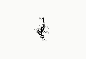 CCCCOCC(C)(C)c1cc(OC)c2c(c1)OC(C)(C)[C@@H]1CC=C(c3ncc(C)[nH]3)C[C@@H]21